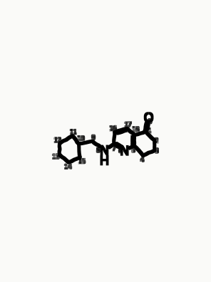 O=C1CCCc2nc(NCC3CCCCC3)ccc21